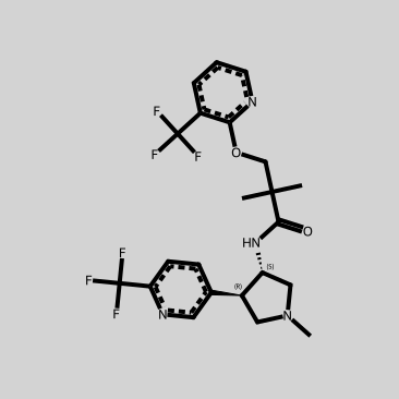 CN1C[C@@H](NC(=O)C(C)(C)COc2ncccc2C(F)(F)F)[C@H](c2ccc(C(F)(F)F)nc2)C1